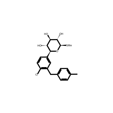 CS[C@H]1O[C@@H](c2ccc(Cl)c(Cc3ccc(C)cc3)c2)[C@H](O)[C@@H](O)[C@@H]1O